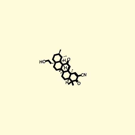 C[C@@H]1[C@H]2[C@H]3C(=O)C=C4[C@@]5(C)C=C(C#N)C(=O)C(C)(C)[C@@H]5CC[C@@]4(C)[C@]3(C)CC[C@@]2(CCO)CC[C@H]1C